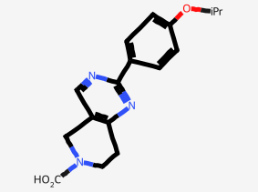 CC(C)Oc1ccc(-c2ncc3c(n2)CCN(C(=O)O)C3)cc1